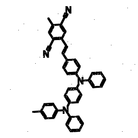 Cc1ccc(N(c2ccccc2)c2ccc(N(c3ccccc3)c3ccc(C=Cc4cc(C#N)c(C)cc4C#N)cc3)cc2)cc1